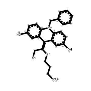 O=S(=O)(O)CCCSC(CS)=C1c2cc(O)ccc2N(Cc2ccccc2)c2ccc(O)cc21